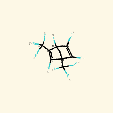 FC1=C(F)C2(C(F)(F)F)C(F)=C(C(F)(F)F)C12F